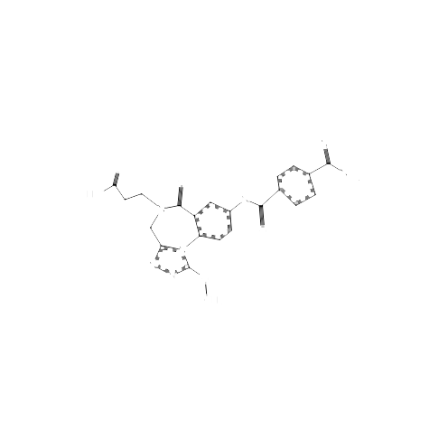 COc1nnc2n1-c1ccc(NC(=O)c3ccc(C(=N)N)cc3)cc1C(=O)N(CCC(=O)O)C2